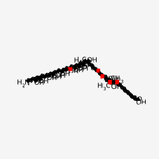 CC(/C=C/CC/C=C/C=C/C=C/C=C/C(=O)O)C(O)C(C)C(O)/C=C/C=C/C=C/C=C/C=C/CC(O)C(C)C(=O)CC(O)CC(O)CC(O)/C=C/CC(O)CC(O)CC(O)CC(O)/C=C/CC(O)CC(O)CCCN